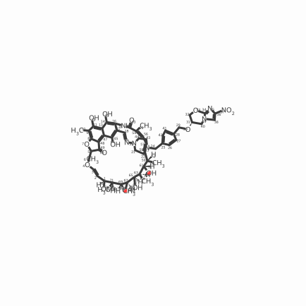 CO[C@H]1/C=C/O[C@@]2(C)Oc3c(C)c(O)c4c(O)c(c(/C=N/N5CCN(Cc6ccc(CO[C@@H]7COc8nc([N+](=O)[O-])cn8C7)cc6)CC5)c(O)c4c3C2=O)NC(=O)/C(C)=C\C=C\[C@H](C)[C@H](O)[C@@H](C)[C@@H](O)[C@@H](C)[C@H](OC(C)=O)[C@@H]1C